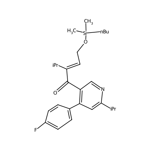 CCCC[Si](C)(C)OCC=C(C(=O)c1cnc(C(C)C)cc1-c1ccc(F)cc1)C(C)C